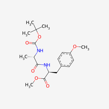 COC(=O)[C@H](Cc1ccc(OC)cc1)NC(=O)[C@H](C)NC(=O)OC(C)(C)C